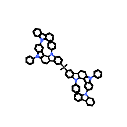 C[Si](C)(c1ccc2c(c1)C1C=Cc3c(c4cc(N5c6ccccc6C6C=CC=CC65)ccc4n3-c3ccccc3)C1N2c1ccccc1)c1ccc2c(c1)C1C=Cc3c(c4cc(-n5c6ccccc6c6ccccc65)ccc4n3-c3ccccc3)C1N2c1ccccc1